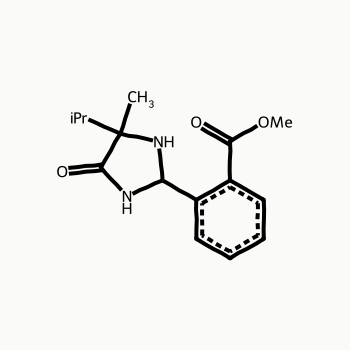 COC(=O)c1ccccc1C1NC(=O)C(C)(C(C)C)N1